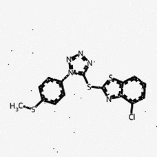 CSc1ccc(-n2nnnc2Sc2nc3c(Cl)cccc3s2)cc1